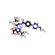 CCN1CCN(c2ccc(C(=O)N[C@@H](CC(C)C)C(=O)N3C[C@@H](C(C)C)[C@H]4OCC(=O)[C@H]43)cc2)CC1